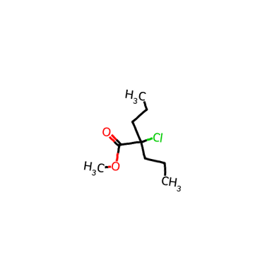 CCCC(Cl)(CCC)C(=O)OC